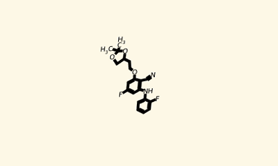 CC1(C)OCC(CCOc2cc(F)cc(Nc3ccccc3F)c2C#N)O1